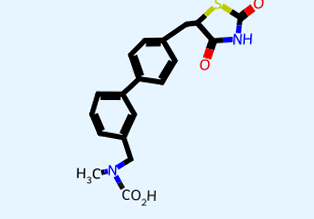 CN(Cc1cccc(-c2ccc(CC3SC(=O)NC3=O)cc2)c1)C(=O)O